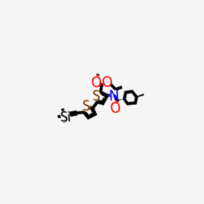 COC(=O)c1sc(-c2ccc(C#C[Si](C)(C)C)s2)cc1N(C(=O)[C@H]1CC[C@H](C)CC1)C(C)C